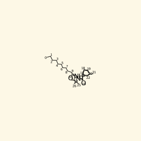 CCCCCCCCCCC(=O)NN(C(=O)c1cccc(C)c1)C(C)(C)C